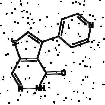 O=c1[nH]ncc2scc(-c3ccncc3)c12